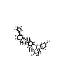 CC(=O)N[C@@H](Cc1ccc(C(=O)Nc2cc(-c3cccs3)ccc2N)cc1)C(=O)N1CCN(C)CC1